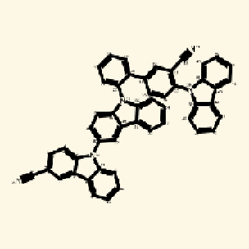 N#Cc1ccc2c(c1)c1ccccc1n2-c1ccc2c(c1)c1ccccc1n2-c1ccccc1-c1ccc(-n2c3ccccc3c3ccccc32)c(C#N)c1